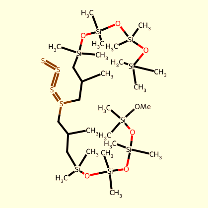 CO[Si](C)(C)O[Si](C)(C)O[Si](C)(C)O[Si](C)(C)CC(C)CS(CC(C)C[Si](C)(C)O[Si](C)(C)O[Si](C)(C)O[Si](C)(C)C)=S=S=S